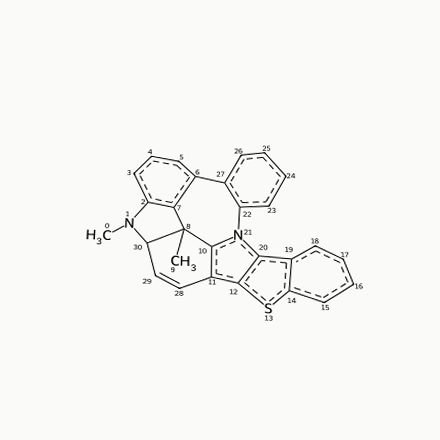 CN1c2cccc3c2C2(C)c4c(c5sc6ccccc6c5n4-c4ccccc4-3)C=CC12